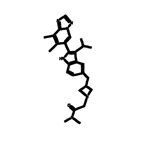 Cc1c(-c2[nH]c3ccc(CC4CN(CC(=O)N(C)C)C4)cc3c2C(C)C)cn2ncnc2c1C